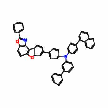 c1ccc(-c2cccc(N(c3ccc(-c4ccc5c(c4)oc4ccc6oc(-c7ccccc7)nc6c45)cc3)c3ccc(-c4cccc5ccccc45)cc3)c2)cc1